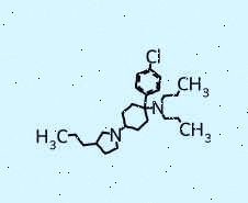 CCCC1CCN(C2CCC(c3ccc(Cl)cc3)(N(CCC)CCC)CC2)C1